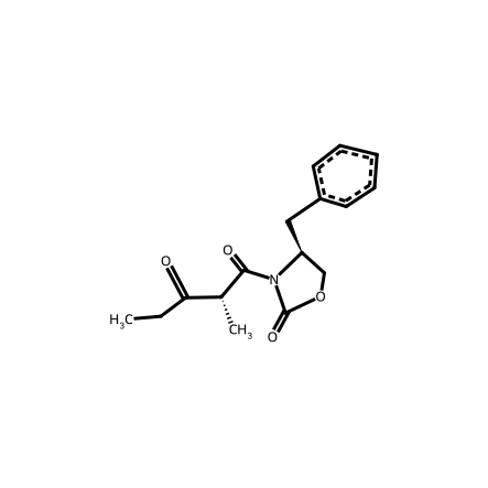 CCC(=O)[C@@H](C)C(=O)N1C(=O)OC[C@@H]1Cc1ccccc1